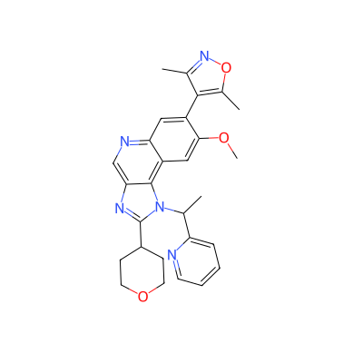 COc1cc2c(cc1-c1c(C)noc1C)ncc1nc(C3CCOCC3)n(C(C)c3ccccn3)c12